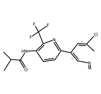 C=N/C=C(\C=C(/C)Cl)c1ccc(NC(=O)C(C)C)c(C(F)(F)F)n1